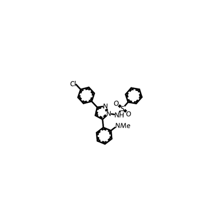 CNc1ccccc1-c1cc(-c2ccc(Cl)cc2)nn1NS(=O)(=O)c1ccccc1